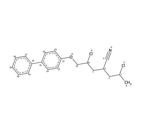 CC(Cl)CC(C#N)CC(Cl)COc1ccc(-c2ccccc2)cc1